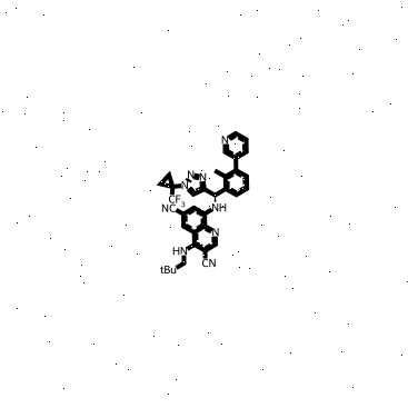 Cc1c(-c2cccnc2)cccc1[C@H](Nc1cc(C#N)cc2c(NCC(C)(C)C)c(C#N)cnc12)c1cn(C2(C(F)(F)F)CC2)nn1